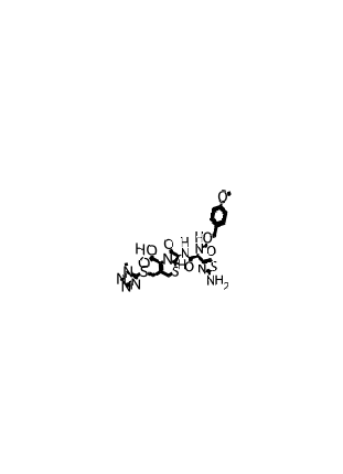 COc1ccc(COC(=O)NC(C(=O)N[C@H]2C(=O)N3C(C(=O)O)=C(CSc4nnnn4C)CS[C@@H]23)c2csc(N)n2)cc1